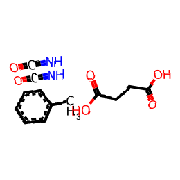 Cc1ccccc1.N=C=O.N=C=O.O=C(O)CCC(=O)O